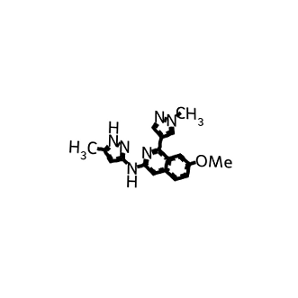 COc1ccc2cc(Nc3cc(C)[nH]n3)nc(-c3cnn(C)c3)c2c1